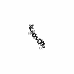 CCC(C)Oc1ccc2c(n1)CCN(CCC1CCC(NC(=O)Cc3cnn(C)n3)CC1)CC2